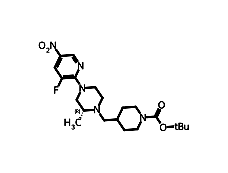 C[C@@H]1CN(c2ncc([N+](=O)[O-])cc2F)CCN1CC1CCN(C(=O)OC(C)(C)C)CC1